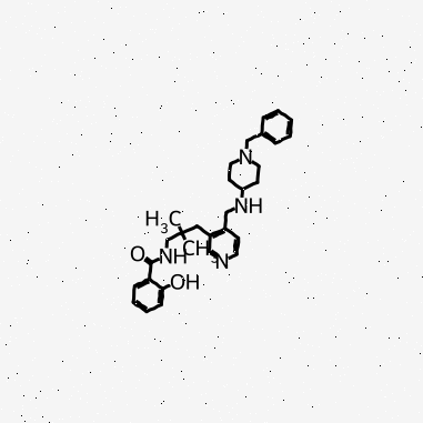 CC(C)(CNC(=O)c1ccccc1O)Cc1cnccc1CNC1CCN(Cc2ccccc2)CC1